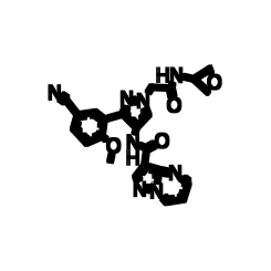 COc1ccc(C#N)cc1-c1nn(CC(=O)NC2COC2)cc1NC(=O)c1cnn2cccnc12